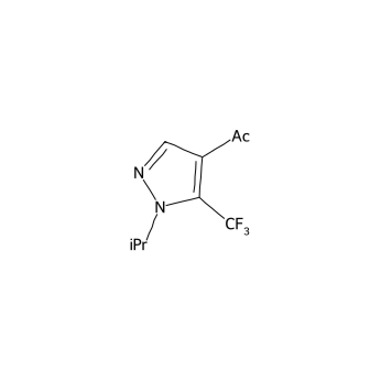 CC(=O)c1cnn(C(C)C)c1C(F)(F)F